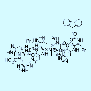 CC(C)C[C@H](NC(=O)OCC1c2ccccc2-c2ccccc21)C(=O)N[C@@H](Cc1c[nH]cn1)C(=O)N[C@@H](CC(C)C)C(=O)N[C@@H](CC(C)C)C(=O)N[C@@H](Cc1c[nH]cn1)C(=O)N[C@@H](Cc1c[nH]cn1)C(=O)N[C@@H](CC(C)C)C(=O)N[C@@H](Cc1c[nH]cn1)C(=O)N[C@@H](Cc1c[nH]cn1)C(=O)O